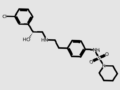 O=S(=O)(Nc1ccc(CCNC[C@H](O)c2cccc(Cl)c2)cc1)N1CCCCC1